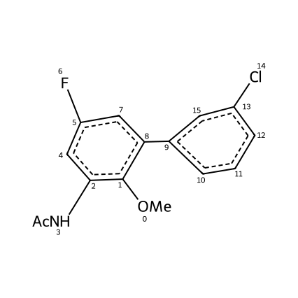 COc1c(NC(C)=O)cc(F)cc1-c1cccc(Cl)c1